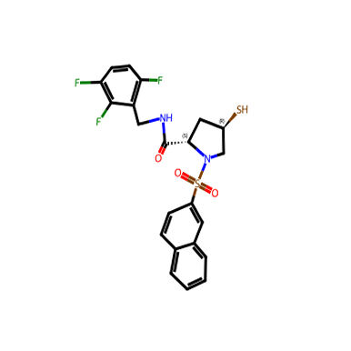 O=C(NCc1c(F)ccc(F)c1F)[C@@H]1C[C@@H](S)CN1S(=O)(=O)c1ccc2ccccc2c1